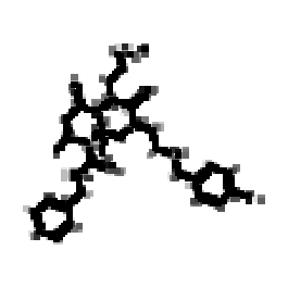 CN1CC(=O)N2[C@@H](CCC(=O)O)C(=O)N(CCOCc3ccc(F)cc3)C[C@@H]2N1C(=O)NCc1ccccc1